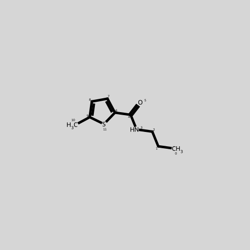 CCCNC(=O)c1ccc(C)s1